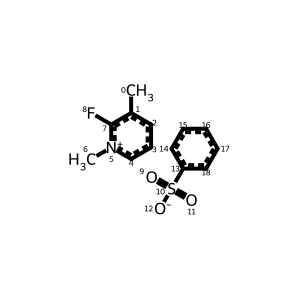 Cc1ccc[n+](C)c1F.O=S(=O)([O-])c1ccccc1